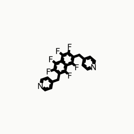 Fc1c(Cc2ccncc2)c(F)c2c(F)c(Cc3ccncc3)c(F)c(F)c2c1F